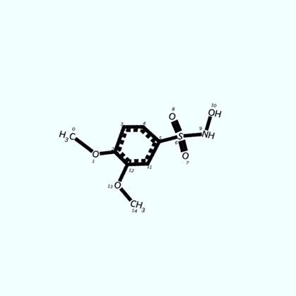 COc1ccc(S(=O)(=O)NO)cc1OC